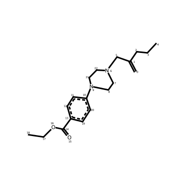 C=C(CCC)CN1CCN(c2ccc(C(=O)OCC)cc2)CC1